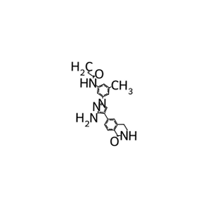 C=CC(=O)Nc1cc(C)cc(-n2cc(-c3ccc4c(c3)CCNC4=O)c(N)n2)c1